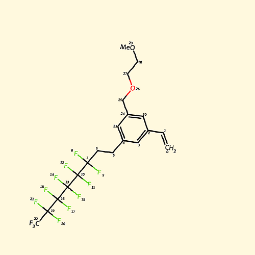 C=Cc1cc(CCC(F)(F)C(F)(F)C(F)(F)C(F)(F)C(F)(F)C(F)(F)F)cc(COCCOC)c1